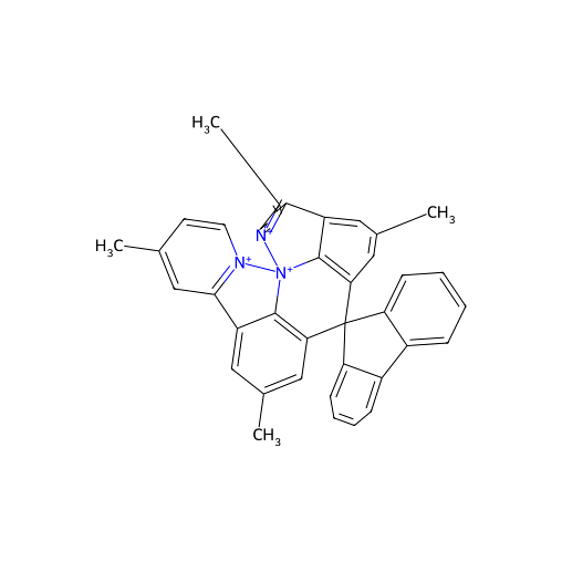 Cc1cc2c3c(c1)C1(c4ccccc4-c4ccccc41)c1cc(C)cc4c1[N+]3([n+]1ccc(C)cc1-2)[n+]1ccc(C)cc1-4